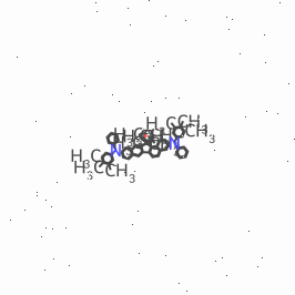 Cc1cc(N(c2ccccc2)c2ccc3cc4c(cc3c2)C([Si](C)(C)C)([Si](C)(C)C)c2c-4ccc3cc(N(c4ccccc4)c4cc(C)c(C)c(C)c4)ccc23)cc(C)c1C